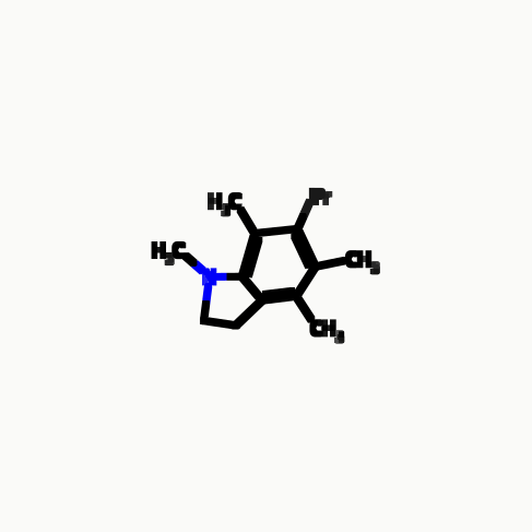 Cc1c(C)c(C(C)C)c(C)c2c1CCN2C